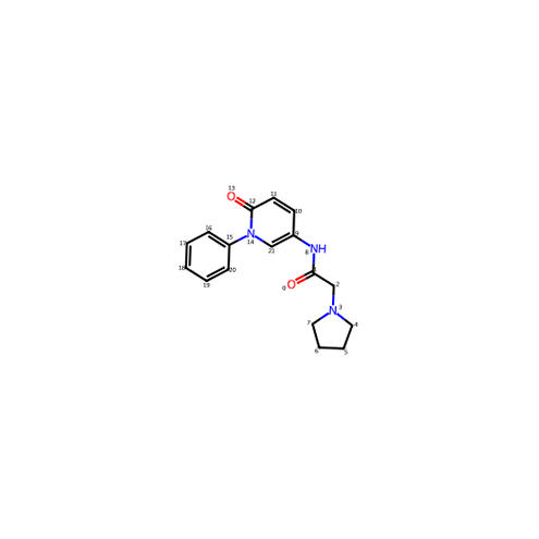 O=C(CN1CCCC1)Nc1ccc(=O)n(-c2ccccc2)c1